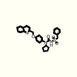 O=C(NS(=O)(=O)Cc1ccccc1)N(c1ccc(OCc2ccc3ccccc3n2)cc1)C1CCCC1